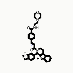 O=C(NCCN1CCOCC1)c1ccc(/C=C/C(=O)N2CCc3c([nH]c4ccccc34)C2c2ccc3c(c2)OOC3)cc1